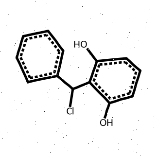 Oc1cccc(O)c1C(Cl)c1ccccc1